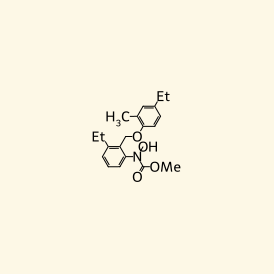 CCc1ccc(OCc2c(CC)cccc2N(O)C(=O)OC)c(C)c1